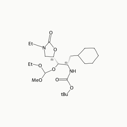 CCOC(OC)OC([C@H](CC1CCCCC1)NC(=O)OC(C)(C)C)[C@@H]1CN(CC)C(=O)O1